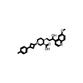 COc1ccc2nccc(C(O)CC[C@@H]3CCN(C4CC(c5ccc(C)cc5)C4)C[C@@H]3C(=O)O)c2c1